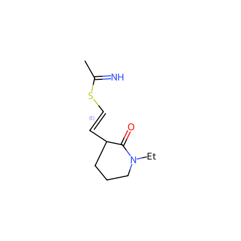 CCN1CCCC(/C=C/SC(C)=N)C1=O